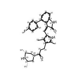 Cc1[nH]c(/C=C2\C(=O)Nc3cccc(-c4ccc(F)cc4)c32)c(C)c1CCC(=O)N1C[C@@H](C)N[C@@H](C)C1